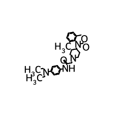 CCN(CC)c1ccc(NC(=O)CN2CCC(N3C(=O)OCc4cccc(C)c43)CC2)cc1